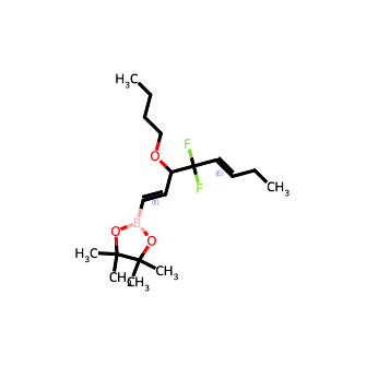 CC/C=C/C(F)(F)C(/C=C/B1OC(C)(C)C(C)(C)O1)OCCCC